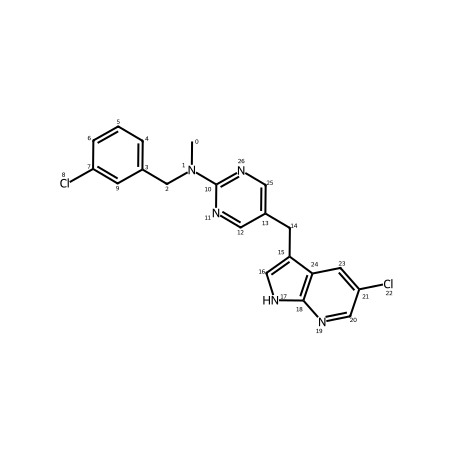 CN(Cc1cccc(Cl)c1)c1ncc(Cc2c[nH]c3ncc(Cl)cc23)cn1